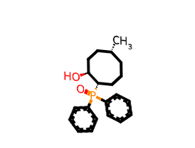 C[C@@H]1CCC[C@H](P(=O)(c2ccccc2)c2ccccc2)[C@@H](O)CC1